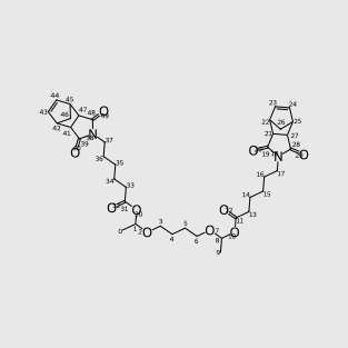 CC(OCCCCOC(C)OC(=O)CCCCCN1C(=O)C2C3C=CC(C3)C2C1=O)OC(=O)CCCCCN1C(=O)C2C3C=CC(C3)C2C1=O